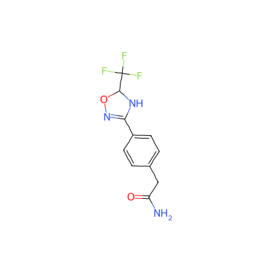 NC(=O)Cc1ccc(C2=NOC(C(F)(F)F)N2)cc1